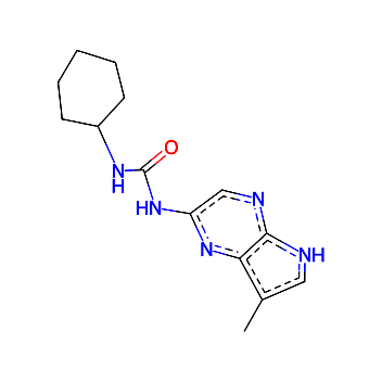 Cc1c[nH]c2ncc(NC(=O)NC3CCCCC3)nc12